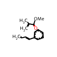 C=C(C)C(=O)OC.C=CC=Cc1ccccc1